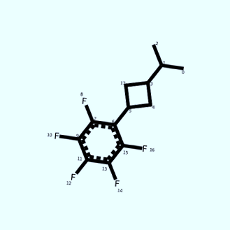 CC(C)C1CC(c2c(F)c(F)c(F)c(F)c2F)C1